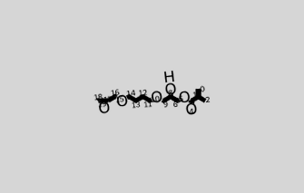 C=C(C)C(=O)OCC(O)COCCCCOCC1CO1